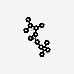 c1ccc(-c2cc(-c3ccccc3)c3oc4c(-c5ccc6c(c5)c5ccccc5n6-c5ccc(-c6ccc7c(-c8ccccc8)c8ccccc8c(-c8ccccc8)c7c6)cc5)cc(-c5ccccc5)cc4c3c2)cc1